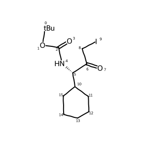 CC(C)(C)OC(=O)N[C@H](C(=O)CI)C1CCCCC1